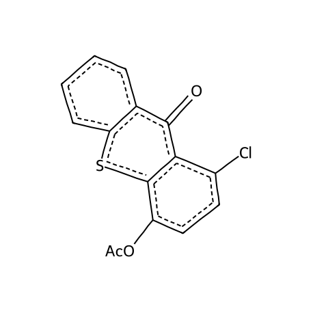 CC(=O)Oc1ccc(Cl)c2c(=O)c3ccccc3sc12